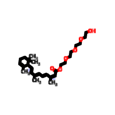 CC(=CC=C/C(C)=C\C(=O)OCCOCCOCCOCCO)/C=C/C1C(C)=CCCC1(C)C